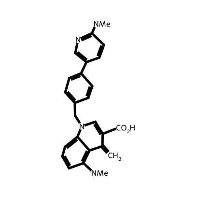 C=C1C(C(=O)O)=CN(Cc2ccc(-c3ccc(NC)nc3)cc2)c2cccc(NC)c21